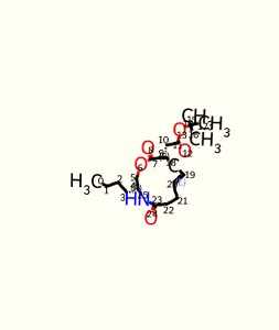 CCCC[C@@H]1COC(=O)[C@H](CC(=O)OC(C)(C)C)C/C=C/CCC(=O)N1